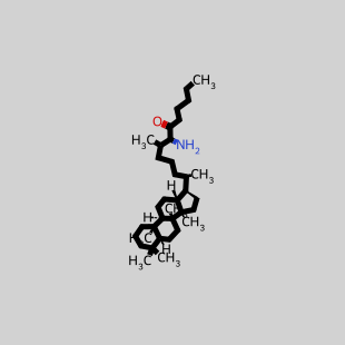 CCCCCC(=O)C(N)C(C)CCC[C@@H](C)[C@H]1CC[C@]2(C)[C@@H]1CC[C@@H]1[C@@]3(C)CCCC(C)(C)[C@@H]3CC[C@]12C